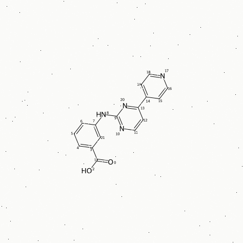 O=C(O)c1cccc(Nc2nccc(-c3ccncc3)n2)c1